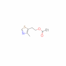 CCC(=O)OCCc1scnc1C